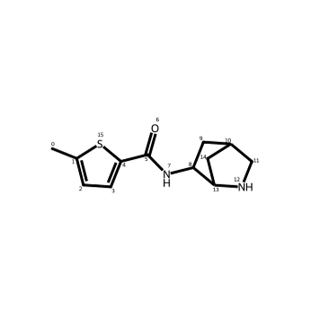 Cc1ccc(C(=O)NC2CC3CNC2C3)s1